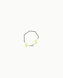 [CH]1SCCCCCS1